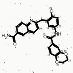 NC(=O)c1ccc2nc(Cc3cc(NC(=O)c4ccc5c(c4)OCCO5)ccc3Cl)ccc2c1